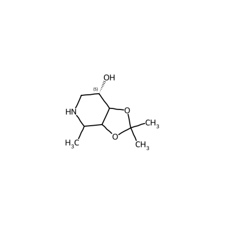 CC1NC[C@H](O)C2OC(C)(C)OC12